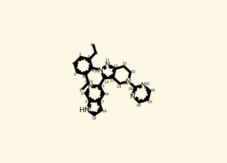 CCc1cccc(CC)c1-n1nc2c(c1-c1cc3cc[nH]c3cn1)CN(c1ncccn1)CC2